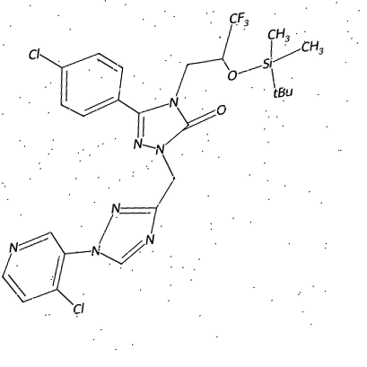 CC(C)(C)[Si](C)(C)OC(Cn1c(-c2ccc(Cl)cc2)nn(Cc2ncn(-c3cnccc3Cl)n2)c1=O)C(F)(F)F